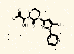 Cc1cc(N2CCO[C@H](C(O)C(=O)O)C2=O)nn1-c1cccnc1